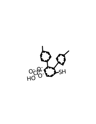 Cc1ccc(-c2cccc(S)c2-c2ccc(C)cc2)cc1.[O-][Cl+3]([O-])([O-])O